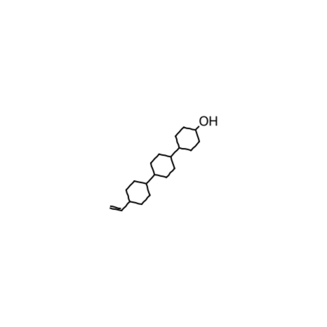 C=CC1CCC(C2CCC(C3CCC(O)CC3)CC2)CC1